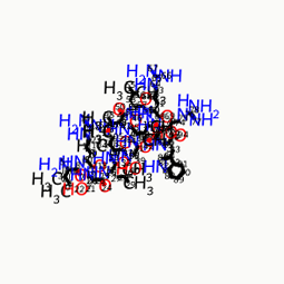 CC[C@H](C)[C@H](N)C(=O)N[C@@H](CCCNC(=N)N)C(=O)N[C@@H](CO)C(=O)N[C@@H](CC(C)C)C(=O)N[C@H](C(=O)N[C@@H](CO)C(=O)N[C@H](C(=O)N[C@H](C(=O)N[C@@H](CC(C)C)C(=O)N[C@@H](CCCNC(=N)N)C(=O)N[C@@H](CCCNC(=N)N)C(=O)N[C@@H](Cc1c[nH]c2ccccc12)C(=O)O)C(C)C)[C@@H](C)CC)[C@@H](C)CC